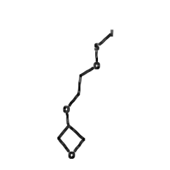 ISOCCOC1COC1